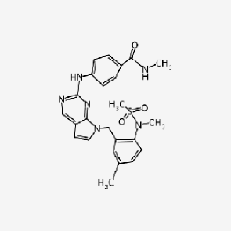 CNC(=O)c1ccc(Nc2ncc3ccn(Cc4cc(C)ccc4N(C)S(C)(=O)=O)c3n2)cc1